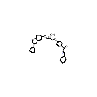 O=C(/C=C\c1ccc(OC[C@H](O)COc2ccc(C(=O)/C=C/c3ccccc3)cc2)cc1)c1ccccc1